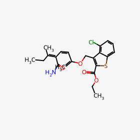 C\C=C(/C=C\C(C(N)=O)=C(/C)CC)OCc1c(C(=O)OCC)sc2cccc(Cl)c12